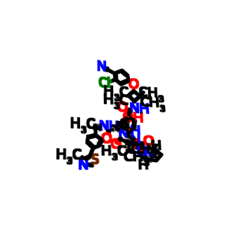 Cc1ncsc1-c1ccc([C@H](C)NC(=O)[C@@H]2C[C@@H](O)CN2C(=O)[C@@H](NC(=O)CN2[C@H]3CC[C@H]2CN(CCCc2ccc(C(=O)N[C@H]4C(C)(C)[C@H](Oc5ccc(C#N)c(Cl)c5)C4(C)C)cc2)C3)C(C)(C)C)cc1